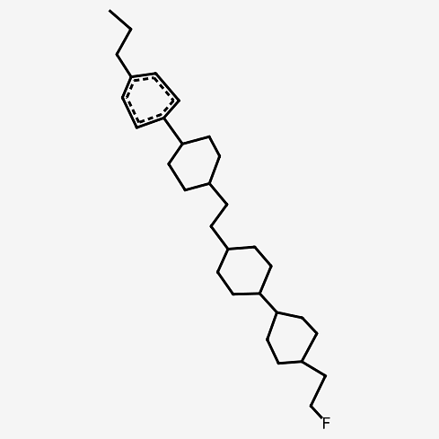 CCCc1ccc(C2CCC(CCC3CCC(C4CCC(CCF)CC4)CC3)CC2)cc1